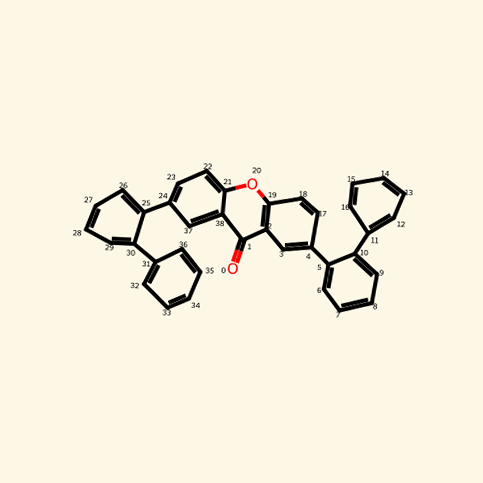 O=c1c2cc(-c3ccccc3-c3ccccc3)ccc2oc2ccc(-c3ccccc3-c3ccccc3)cc12